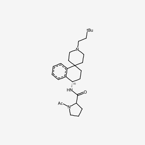 CC(=O)N1CCCC1C(=O)N[C@H]1CCC2(CCN(CCC(C)(C)C)CC2)c2ccccc21